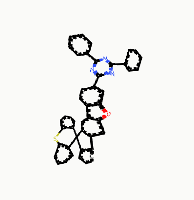 c1ccc(-c2nc(-c3ccccc3)nc(-c3ccc4c(c3)oc3cc5c(cc34)C3(c4ccccc4Sc4ccccc43)c3ccccc3-5)n2)cc1